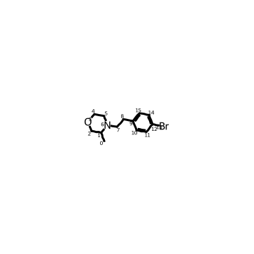 CC1COCCN1CCc1ccc(Br)cc1